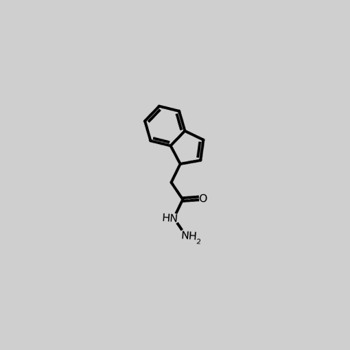 NNC(=O)CC1C=Cc2ccccc21